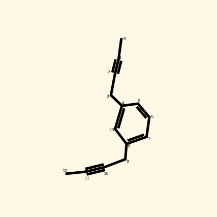 CC#CCc1c[c]cc(CC#CC)c1